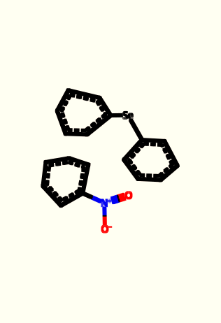 O=[N+]([O-])c1ccccc1.c1ccc([Se]c2ccccc2)cc1